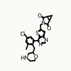 Cc1cc(Cl)cc(-c2ncnc3cc(CN4C(=O)C5CC5C4=O)sc23)c1CC1CNCCO1